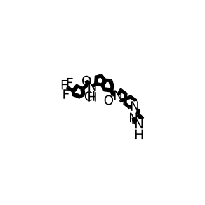 O=C(NC1CCc2ccc(C(=O)N3CCC4(CCN(Cc5c[nH]cn5)CC4)C3)cc21)c1cc(C(F)(F)F)ccc1Cl